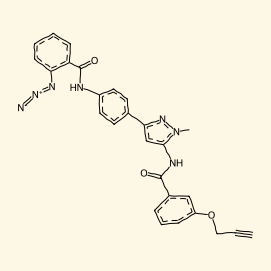 C#CCOc1cccc(C(=O)Nc2cc(-c3ccc(NC(=O)c4ccccc4N=[N+]=[N-])cc3)nn2C)c1